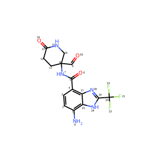 Nc1ccc(C(=O)NC2(C=O)CCC(=O)NC2)c2nc(C(F)(F)F)[nH]c12